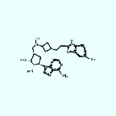 CC(C)N(C[C@H]1C[C@@H](n2cnc3c(N)ncnc32)[C@H](O)[C@@H]1O)C1CC(CCc2nc3cc(C(C)(C)C)ccc3[nH]2)C1